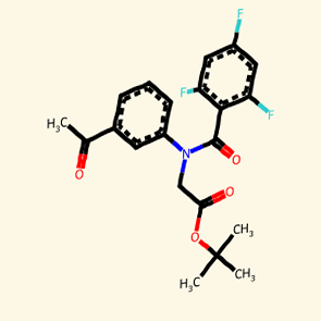 CC(=O)c1cccc(N(CC(=O)OC(C)(C)C)C(=O)c2c(F)cc(F)cc2F)c1